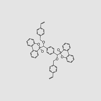 C=Cc1ccc(COC(c2ccc(C(OCc3ccc(C=C)cc3)P3(=O)Oc4ccccc4-c4ccccc43)cc2)P2(=O)Oc3ccccc3-c3ccccc32)cc1